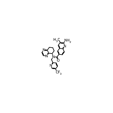 Cc1cc2cc(C(=O)N(Cc3ccc(C(F)(F)F)cn3)[C@@H]3CCCc4nccnc43)ccc2nc1N